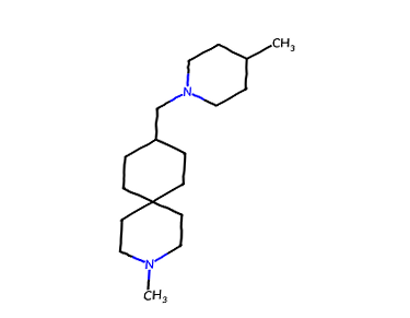 CC1CCN(CC2CCC3(CC2)CCN(C)CC3)CC1